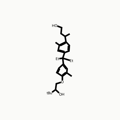 CCC(CC)(c1ccc(OCC(O)C(C)(C)C)c(C)c1)c1ccc(C(C)CCO)c(C)c1